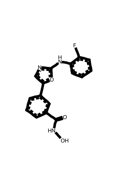 O=C(NO)c1cccc(-c2cnc(Nc3ccccc3F)o2)c1